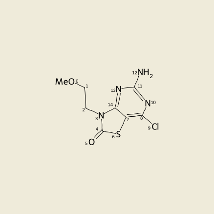 COCCn1c(=O)sc2c(Cl)nc(N)nc21